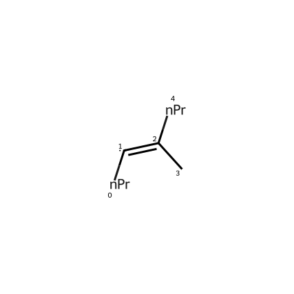 CCC[C]=C(C)CCC